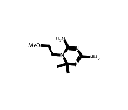 COCCN1C(N)=NC(N)=NC1(C)C